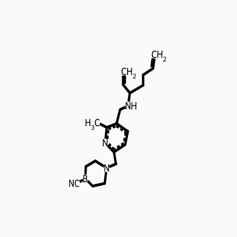 C=CCCC(C=C)NCc1ccc(CN2CCB(C#N)CC2)nc1C